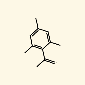 [CH]=C(C)c1c(C)cc(C)cc1C